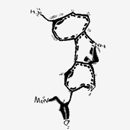 CNC(=O)c1cc2c(cn1)[nH]c1ccc(N)cc12